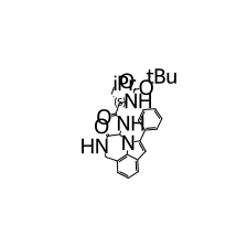 CC(C)C[C@H](NC(=O)OC(C)(C)C)C(=O)NC1C(=O)NCc2cccc3cc(-c4ccccc4)n1c23